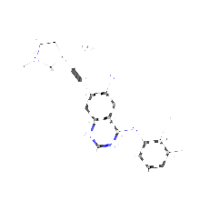 CO[C@@]1(C#Cc2cc3ncnc(Nc4cccc(Cl)c4F)c3cc2N)CCN(C)C1